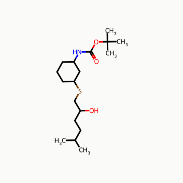 CC(C)CCC(O)CSC1CCCC(NC(=O)OC(C)(C)C)C1